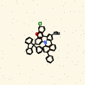 CC(C)(C)c1cc(-c2ccccc2)c(N(c2ccc(-c3ccccc3)cc2)c2cc(Oc3cccc(Cl)c3)cc(C3(c4ccccc4)c4ccccc4-c4ccccc43)c2)c(-c2ccccc2)c1